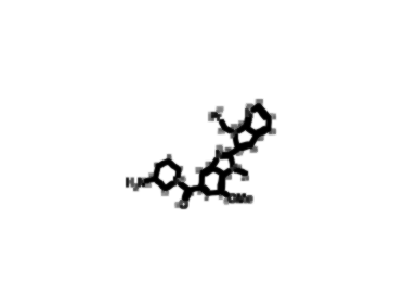 COc1cc(C(=O)N2CCCC(N)C2)cc2nc(-c3cc4cccnc4n3CC(C)C)n(C)c12